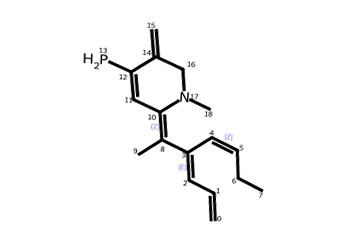 C=C/C=C(\C=C/CC)C(/C)=C1/C=C(P)C(=C)CN1C